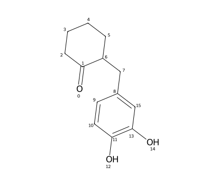 O=C1CCCCC1Cc1ccc(O)c(O)c1